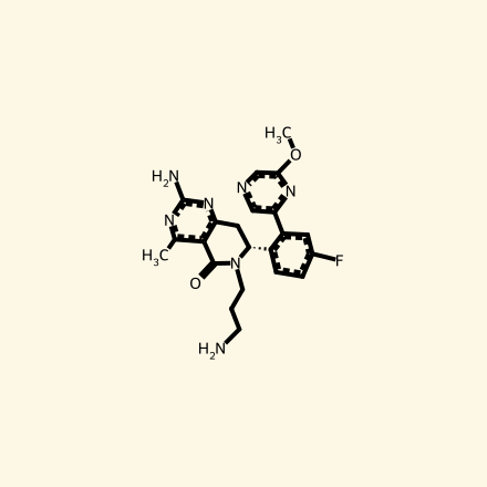 COc1cncc(-c2cc(F)ccc2[C@H]2Cc3nc(N)nc(C)c3C(=O)N2CCCN)n1